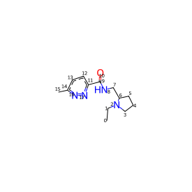 CCN1CCCC1CNC(=O)c1ccc(C)nn1